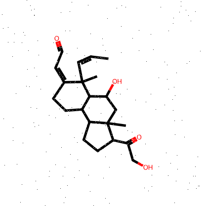 C/C=C\C1(C)/C(=C\C=O)CCC2C1C(O)CC1(C)C(C(=O)CO)CCC21